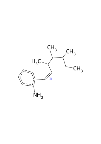 CCC(C)C(C)C(C)/C=C\c1ccccc1N